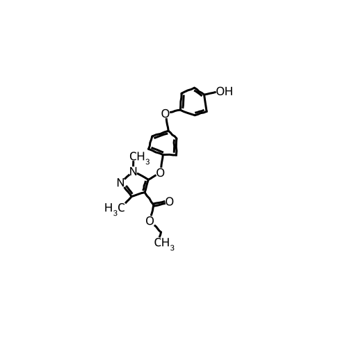 CCOC(=O)c1c(C)nn(C)c1Oc1ccc(Oc2ccc(O)cc2)cc1